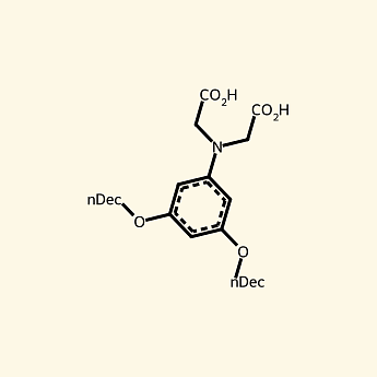 CCCCCCCCCCOc1cc(OCCCCCCCCCC)cc(N(CC(=O)O)CC(=O)O)c1